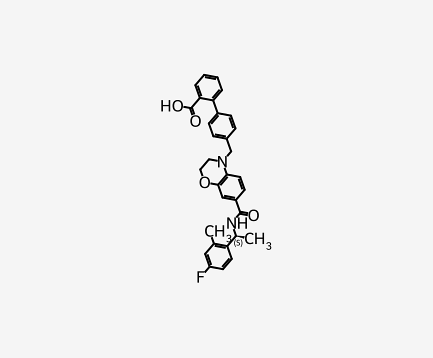 Cc1cc(F)ccc1[C@H](C)NC(=O)c1ccc2c(c1)OCCN2Cc1ccc(-c2ccccc2C(=O)O)cc1